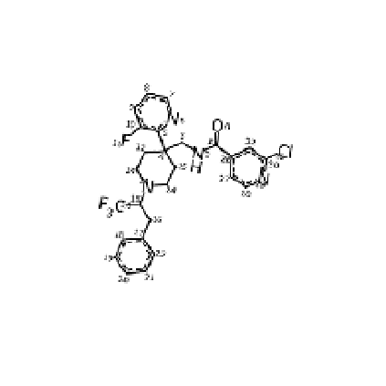 O=C(NCC1(c2ncccc2F)CCN(C(Cc2ccccc2)C(F)(F)F)CC1)c1ccnc(Cl)c1